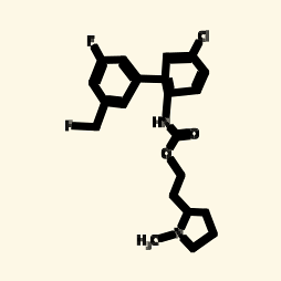 CN1CCCC1CCOC(=O)Nc1ccc(Cl)cc1-c1cc(F)cc(CF)c1